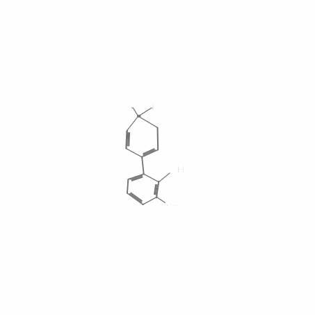 Cc1cccc(C2=CCC(I)(I)C=C2)c1C